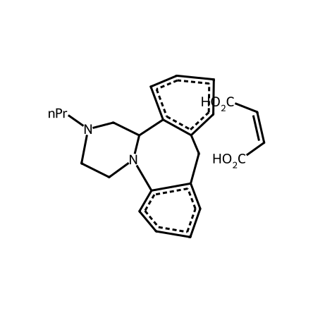 CCCN1CCN2c3ccccc3Cc3ccccc3C2C1.O=C(O)/C=C\C(=O)O